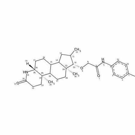 Cc1ccc(NC(=O)CO[C@H]2C(C)CC3C4CC[C@H]5NC(=O)CC[C@]5(C)C4CC[C@@]32C)cc1